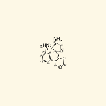 C[C@H](Nc1cc(C2CCOCC2)ncc1N)c1ccccc1